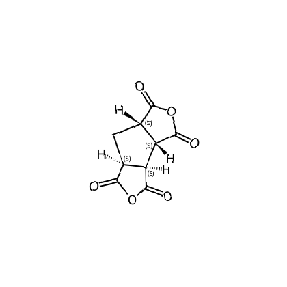 O=C1OC(=O)[C@H]2C[C@@H]3C(=O)OC(=O)[C@@H]3[C@@H]12